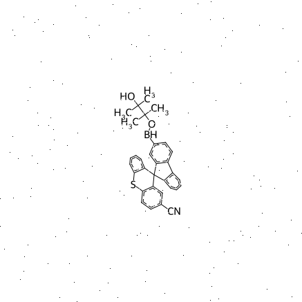 CC(C)(O)C(C)(C)OBc1ccc2c(c1)C1(c3ccccc3Sc3ccc(C#N)cc31)c1ccccc1-2